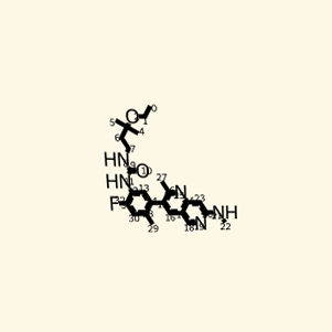 CCOC(C)(C)CCNC(=O)Nc1cc(-c2cc3cnc(NC)cc3nc2C)c(C)cc1F